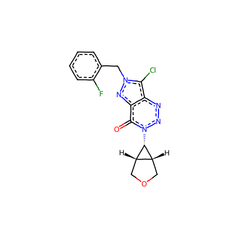 O=c1c2nn(Cc3ccccc3F)c(Cl)c2nnn1[C@@H]1[C@@H]2COC[C@@H]21